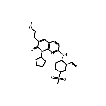 C=C[C@H]1CN(S(C)(=O)=O)CC[C@@H]1Nc1ncc2cc(CCOC)c(=O)n(C3CCCC3)c2n1